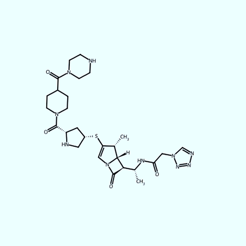 C[C@@H](NC(=O)Cn1cnnn1)[C@H]1C(=O)N2C=C(S[C@@H]3CN[C@H](C(=O)N4CCC(C(=O)N5CCNCC5)CC4)C3)[C@H](C)[C@H]12